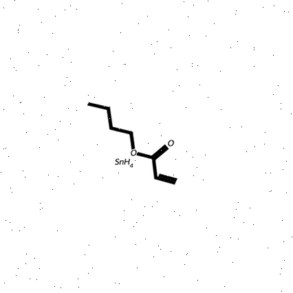 C=CC(=O)OCCCC.[SnH4]